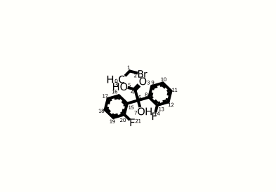 CCBr.O=C(O)C(O)(c1ccccc1F)c1ccccc1F